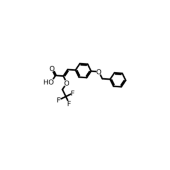 O=C(O)/C(=C/c1ccc(OCc2ccccc2)cc1)OCC(F)(F)F